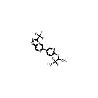 CC(Oc1ccc(-c2cn3c(C(F)(F)F)nnc3cn2)cn1)C(C)(F)F